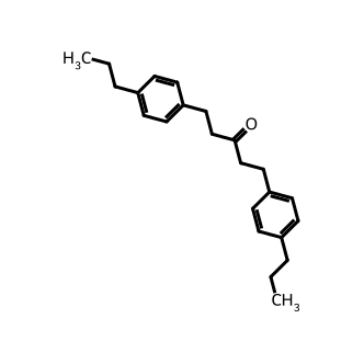 CCCc1ccc(CCC(=O)CCc2ccc(CCC)cc2)cc1